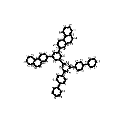 c1ccc(-c2ccc(-c3nc(-c4ccc(-c5ccccc5)cc4)nc(-c4cc(-c5ccc6c(ccc7ccccc76)c5)cc(-c5ccc6c(ccc7ccccc76)c5)c4)n3)cc2)cc1